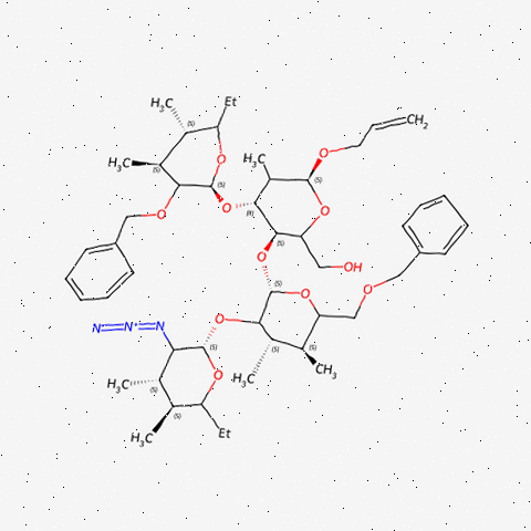 C=CCO[C@H]1OC(CO)[C@@H](O[C@@H]2OC(COCc3ccccc3)[C@@H](C)[C@H](C)C2O[C@@H]2OC(CC)[C@@H](C)[C@H](C)C2N=[N+]=[N-])[C@H](O[C@@H]2OC(CC)[C@@H](C)[C@H](C)C2OCc2ccccc2)C1C